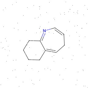 C1=CN=C2CCCCC2=CC1